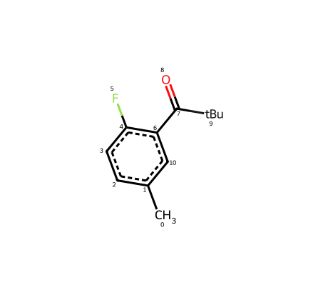 Cc1ccc(F)c(C(=O)C(C)(C)C)c1